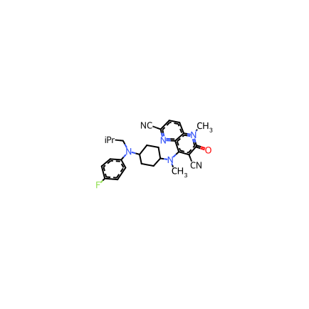 CC(C)CN(c1ccc(F)cc1)C1CCC(N(C)c2c(C#N)c(=O)n(C)c3ccc(C#N)nc23)CC1